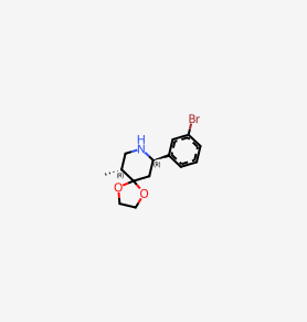 C[C@@H]1CN[C@@H](c2cccc(Br)c2)CC12OCCO2